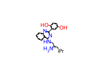 CC(C)C[C@H](N)CNc1nc(-c2cc(O)ccc2O)nc2ccccc12